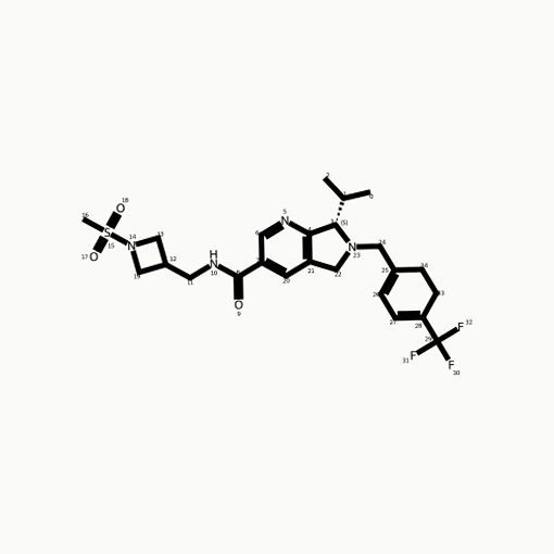 CC(C)[C@H]1c2ncc(C(=O)NCC3CN(S(C)(=O)=O)C3)cc2CN1CC1=CC=C(C(F)(F)F)CC1